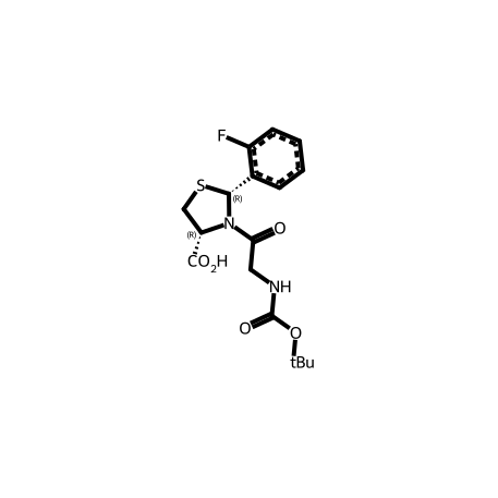 CC(C)(C)OC(=O)NCC(=O)N1[C@@H](c2ccccc2F)SC[C@H]1C(=O)O